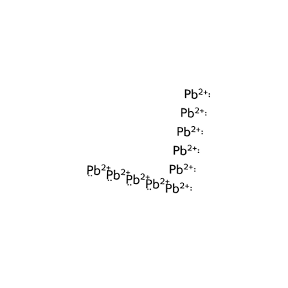 [Pb+2].[Pb+2].[Pb+2].[Pb+2].[Pb+2].[Pb+2].[Pb+2].[Pb+2].[Pb+2].[Pb+2]